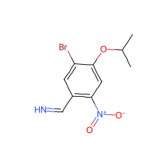 CC(C)Oc1cc([N+](=O)[O-])c(C=N)cc1Br